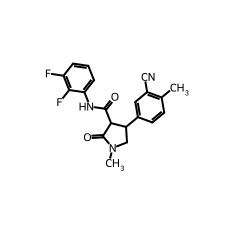 Cc1ccc(C2CN(C)C(=O)C2C(=O)Nc2cccc(F)c2F)cc1C#N